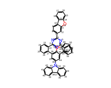 c1ccc(-c2nc(-c3ccc4c(c3)oc3ccccc34)nc(-c3ccccc3-c3cc(-n4c5ccccc5c5ccccc54)cc4c3oc3ccccc34)n2)cc1